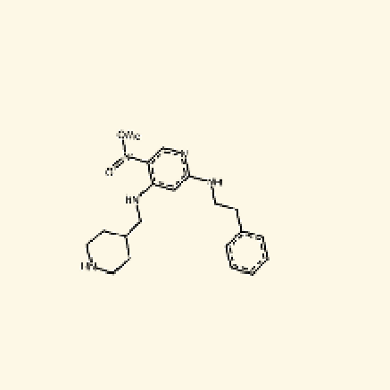 CO[N+](=O)c1cnc(NCCc2ccccc2)cc1NCC1CCNCC1